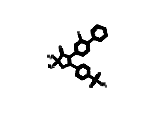 CC1(C)OC(c2ccc(S(N)(=O)=O)cc2)=C(c2ccc(-c3ccccc3)c(F)c2)C1=O